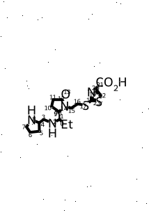 CCC(NCC1CCCN1)[C@H]1CCC(=O)N1CCSc1nc(C(=O)O)cs1